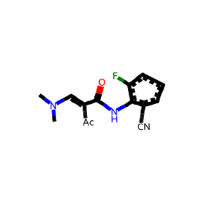 CC(=O)/C(=C\N(C)C)C(=O)Nc1c(F)cccc1C#N